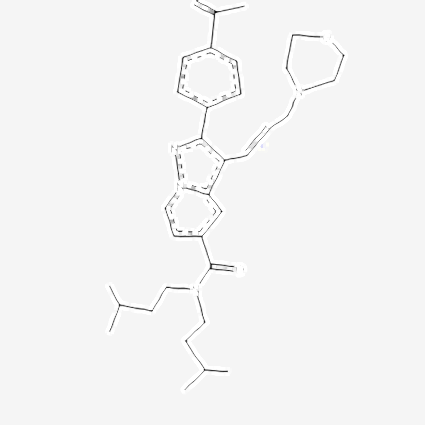 C=C(C)c1ccc(-c2nn3ccc(C(=O)N(CCC(C)C)CCC(C)C)cc3c2/C=C/CN2CCOCC2)cc1